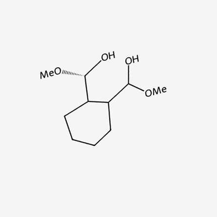 COC(O)C1CCCCC1[C@@H](O)OC